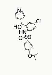 CC(C)Oc1ccc(S(=O)(=O)Nc2ccc(Cl)cc2C(O)c2ccncc2)cc1